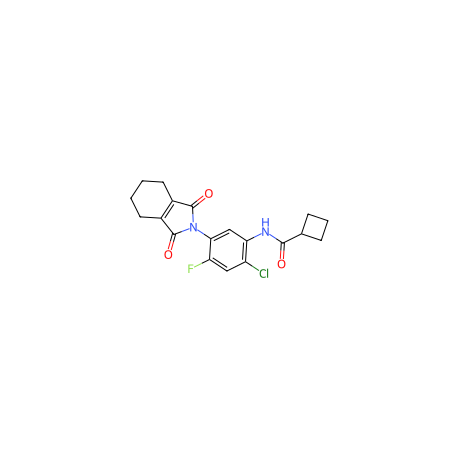 O=C(Nc1cc(N2C(=O)C3=C(CCCC3)C2=O)c(F)cc1Cl)C1CCC1